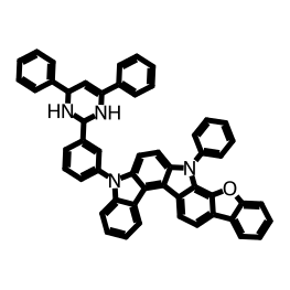 C1=C(c2ccccc2)NC(c2cccc(-n3c4ccccc4c4c5c6ccc7c8ccccc8oc7c6n(-c6ccccc6)c5ccc43)c2)NC1c1ccccc1